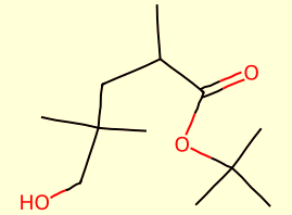 CC(CC(C)(C)CO)C(=O)OC(C)(C)C